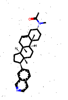 CC(=O)N(C)[C@@H]1CC[C@@]2(C)C(=CC[C@@]3(C)[C@@H]4CC[C@H](c5ccc6ccncc6c5)[C@@]4(C)CC[C@@H]32)C1